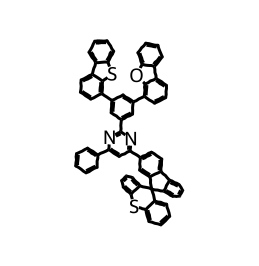 c1ccc(-c2cc(-c3ccc4c(c3)C3(c5ccccc5Sc5ccccc53)c3ccccc3-4)nc(-c3cc(-c4cccc5c4oc4ccccc45)cc(-c4cccc5c4sc4ccccc45)c3)n2)cc1